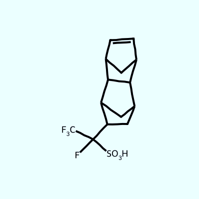 O=S(=O)(O)C(F)(C1CC2CC1C1C3C=CC(C3)C21)C(F)(F)F